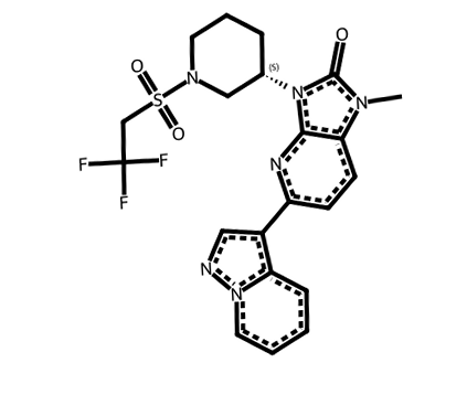 Cn1c(=O)n([C@H]2CCCN(S(=O)(=O)CC(F)(F)F)C2)c2nc(-c3cnn4ccccc34)ccc21